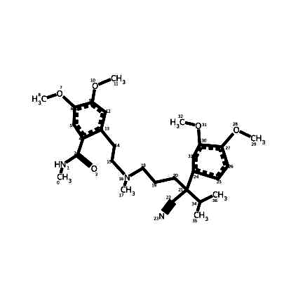 CNC(=O)c1cc(OC)c(OC)cc1CCN(C)CCCC(C#N)(c1ccc(OC)c(OC)c1)C(C)C